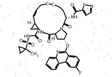 CC1(S(=O)(=O)NC(=O)[C@@]23C[C@H]2/C=C\CCCCC[C@H](NC(=O)c2ccns2)C(=O)N2C[C@H](Oc4nc5ccccc5c5cc(F)ccc45)C[C@H]2C(=O)N3)CC1